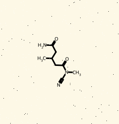 CC([CH]C(=O)N(C)C#N)CC(N)=O